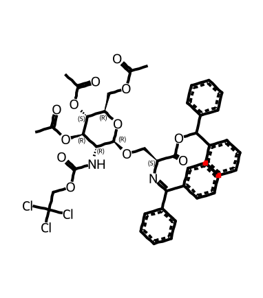 CC(=O)OC[C@H]1O[C@@H](OC[C@H](N=C(c2ccccc2)c2ccccc2)C(=O)OC(c2ccccc2)c2ccccc2)[C@H](NC(=O)OCC(Cl)(Cl)Cl)[C@@H](OC(C)=O)[C@@H]1OC(C)=O